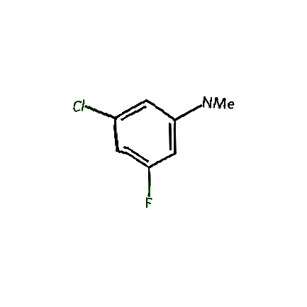 CNc1cc(F)cc(Cl)c1